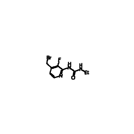 CCNC(=O)Nc1nccc(CBr)c1F